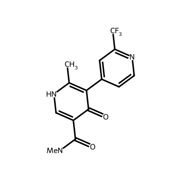 CNC(=O)c1c[nH]c(C)c(-c2ccnc(C(F)(F)F)c2)c1=O